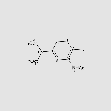 CCCCCCCCN(CCCCCCCC)c1ccc(C)c(NC(C)=O)c1